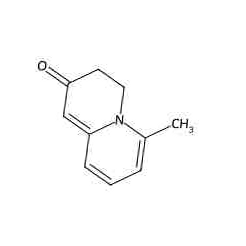 CC1=CC=CC2=CC(=O)CCN12